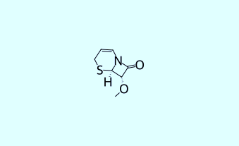 CO[C@H]1C(=O)N2C=CCS[C@H]12